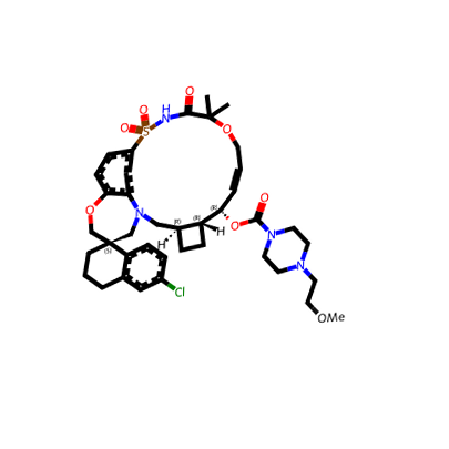 COCCN1CCN(C(=O)O[C@H]2C=CCOC(C)(C)C(=O)NS(=O)(=O)c3ccc4c(c3)N(C[C@@H]3CC[C@H]32)C[C@@]2(CCCc3cc(Cl)ccc32)CO4)CC1